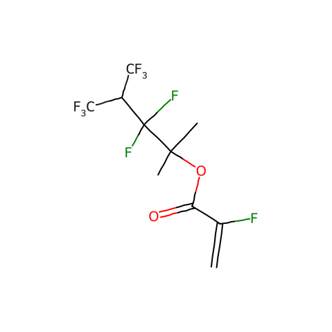 C=C(F)C(=O)OC(C)(C)C(F)(F)C(C(F)(F)F)C(F)(F)F